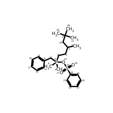 CC(CCP(C)(C)(Cc1ccccc1)OS(=O)(=O)c1ccccc1)CC(C)(C)C